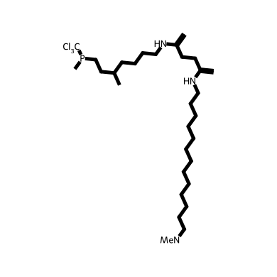 C=C(CCC(=C)NCCCCC(C)CCP(C)C(Cl)(Cl)Cl)NCCCCCCCCCCCCCNC